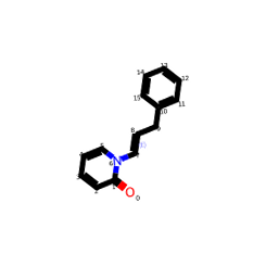 O=c1ccccn1/C=C/Cc1ccccc1